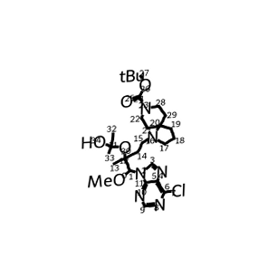 COC(n1cnc2c(Cl)ncnc21)C(C)(CCN1CCCC12CCN(C(=O)OC(C)(C)C)CC2)OC(C)(C)O